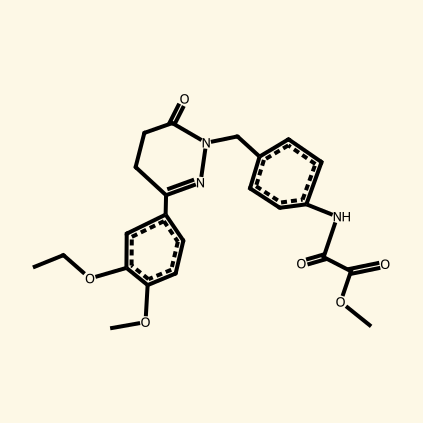 CCOc1cc(C2=NN(Cc3ccc(NC(=O)C(=O)OC)cc3)C(=O)CC2)ccc1OC